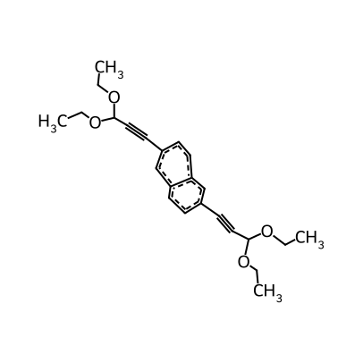 CCOC(C#Cc1ccc2cc(C#CC(OCC)OCC)ccc2c1)OCC